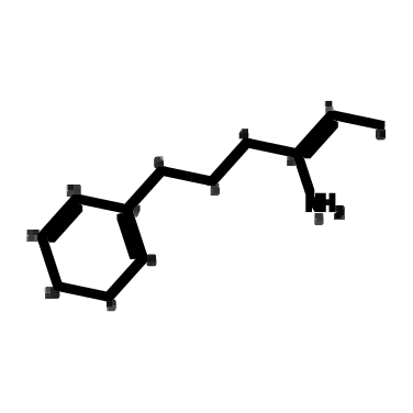 CC=C(N)CCCC1=CCCC=C1